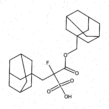 O=C(OCC12CC3CC(CC(C3)C1)C2)C(F)(CC12CC3CC(CC(C3)C1)C2)S(=O)(=O)O